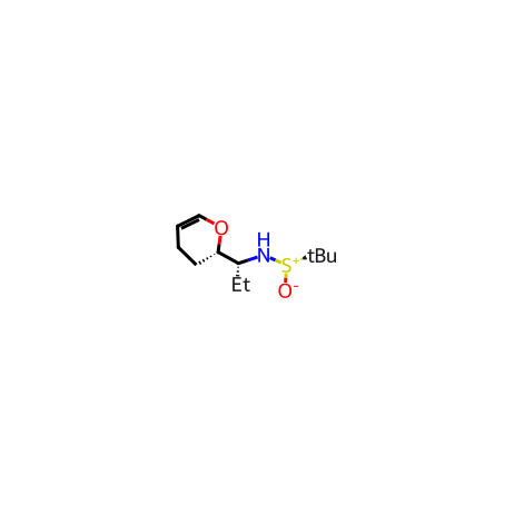 CC[C@@H](N[S@+]([O-])C(C)(C)C)[C@@H]1CCC=CO1